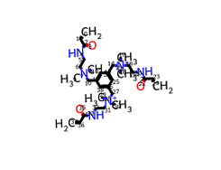 C=CC(=O)NCC[N+](C)(C)Cc1cc(C[N+](C)(C)CCNC(=O)C=C)cc(C[N+](C)(C)CCNC(=O)C=C)c1